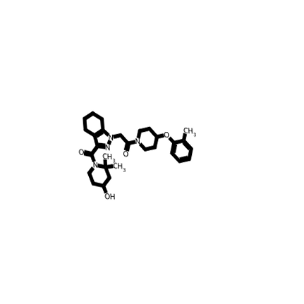 Cc1ccccc1OC1CCN(C(=O)Cn2nc(C(=O)N3CCC(O)CC3(C)C)c3c2CCCC3)CC1